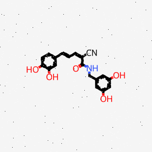 N#CC(=CC=Cc1ccc(O)c(O)c1)C(=O)NCc1cc(O)cc(O)c1